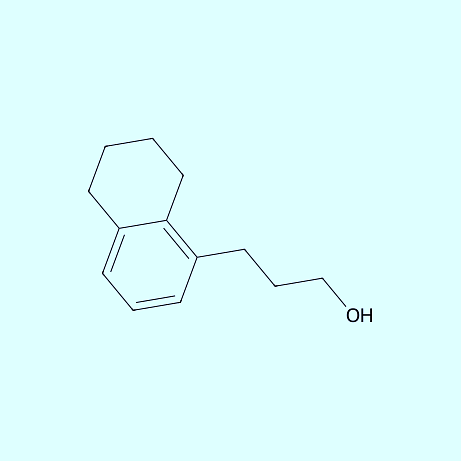 OCCCc1cccc2c1CCCC2